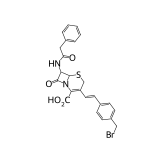 O=C(Cc1ccccc1)NC1C(=O)N2C(C(=O)O)=C(/C=C/c3ccc(CBr)cc3)CSC12